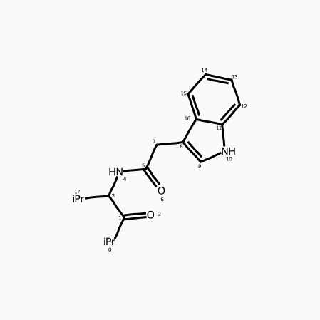 CC(C)C(=O)C(NC(=O)Cc1c[nH]c2ccccc12)C(C)C